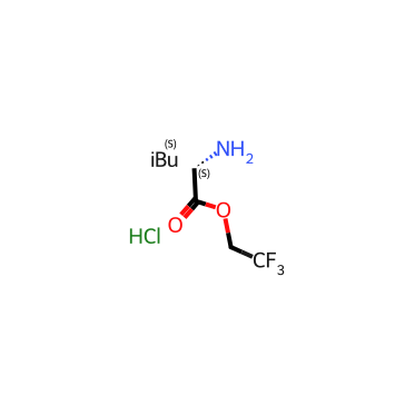 CC[C@H](C)[C@H](N)C(=O)OCC(F)(F)F.Cl